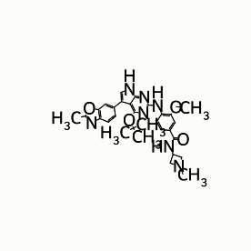 COc1cc(C(=O)NC2CN(C)C2)ccc1Nc1nc(OC(C)(C)C)c2c(-c3ccc4nc(C)oc4c3)c[nH]c2n1